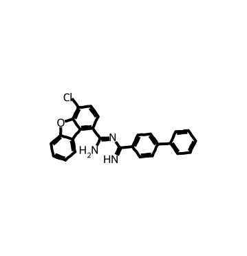 N=C(/N=C(\N)c1ccc(Cl)c2oc3ccccc3c12)c1ccc(-c2ccccc2)cc1